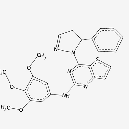 COc1cc(Nc2nc(N3N=CCC3c3ccccc3)c3sccc3n2)cc(OC)c1OC